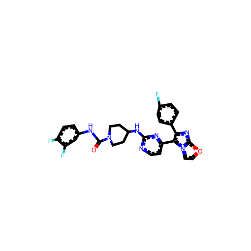 O=C(Nc1ccc(F)c(F)c1)N1CCC(Nc2nccc(-c3c(-c4ccc(F)cc4)nc4occn34)n2)CC1